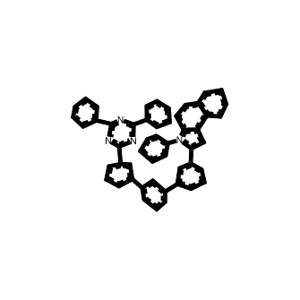 c1ccc(-c2nc(-c3ccccc3)nc(-c3cccc(-c4cccc(-c5cccc(-c6cc7c8ccccc8ccc7n6-c6ccccc6)c5)c4)c3)n2)cc1